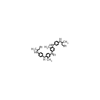 CCN(c1ccc(Nc2ccc(NC(C)CC(C)C)cc2)c(C)c1)c1ccc(Nc2ccc(NC(C)CC(C)C)cc2)c(C)c1